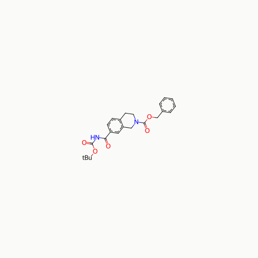 CC(C)(C)OC(=O)NC(=O)c1ccc2c(c1)CN(C(=O)OCc1ccccc1)CC2